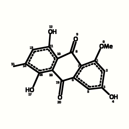 COc1cc(O)cc2c1C(=O)c1c(O)cc(C)c(O)c1C2=O